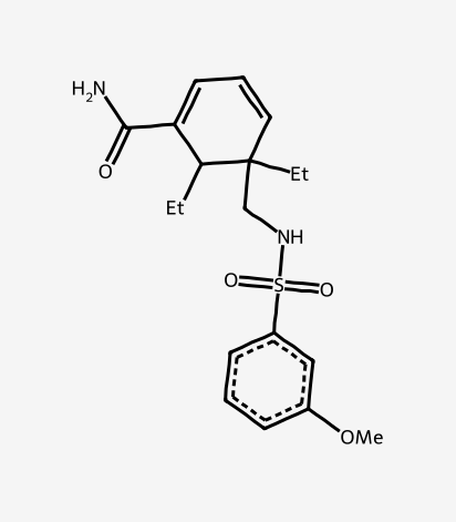 CCC1C(C(N)=O)=CC=CC1(CC)CNS(=O)(=O)c1cccc(OC)c1